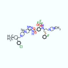 [2H]C1(N2CCc3c(ncnc3NS(=O)(=O)c3ccc(NC(CCN4CCN(C)CC4)CSc4ccccc4F)c(S(=O)(=O)C(F)(F)F)c3)C2)CCN(CC2=C(c3ccc(Cl)cc3)CC(C)(C)CC2)CC1